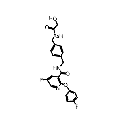 O=C(CO)[AsH]Cc1ccc(CNC(=O)c2cc(F)cnc2Oc2ccc(F)cc2)cc1